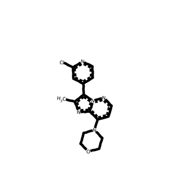 Cc1nc2c(N3CCOCC3)ccnn2c1-c1ccnc(Cl)c1